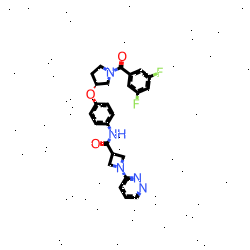 O=C(Nc1ccc(O[C@@H]2CCN(C(=O)c3cc(F)cc(F)c3)C2)cc1)C1CN(c2cccnn2)C1